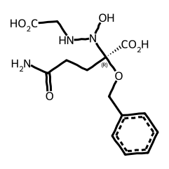 NC(=O)CC[C@@](OCc1ccccc1)(C(=O)O)N(O)NCC(=O)O